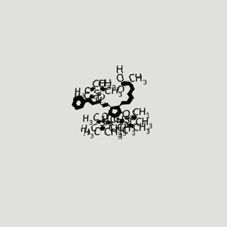 CC(CC/C=C\C[C@@H]1[C@@H](CC[C@H](CCc2ccccc2)O[Si](C(C)C)(C(C)C)C(C)C)[C@H](O[Si](C(C)C)(C(C)C)C(C)C)C[C@@H]1O[Si](C(C)C)(C(C)C)C(C)C)C(=O)O